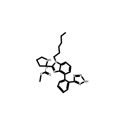 CCCCCCn1c([C@@]2(C(=O)OC)CCCN2)nc2c(-c3ccccc3-c3nn[nH]n3)cccc21